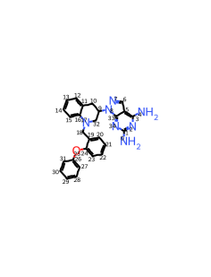 Nc1nc(N)c2cnn(C3Cc4ccccc4N(Cc4ccccc4Oc4ccccc4)C3)c2n1